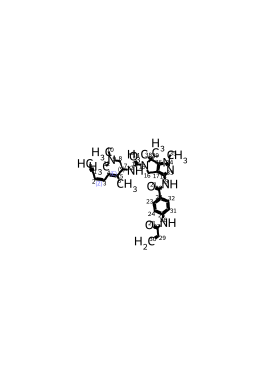 C#C/C=C\C=C(/C)[C@@H](CN(C)C)NC(=O)N1Cc2c(NC(=O)c3ccc(NC(=O)C=C)cc3)nn(C)c2C1(C)C